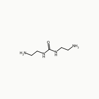 NCCNC(=O)NCCN